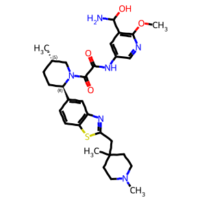 COc1ncc(NC(=O)C(=O)N2C[C@@H](C)CC[C@@H]2c2ccc3sc(CC4(C)CCN(C)CC4)nc3c2)cc1C(N)O